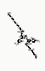 CCCOCCOCCOCCOCCOCCOP(=O)(O)OC[C@H]1O[C@@H](n2ccc(N)nc2=O)C[C@@H]1OP(=O)(O)OC[C@H]1O[C@@H](n2ccc(N)nc2=O)C[C@@H]1OP(=O)(O)OCCCNC(=O)CCCN=[N+]=[N-]